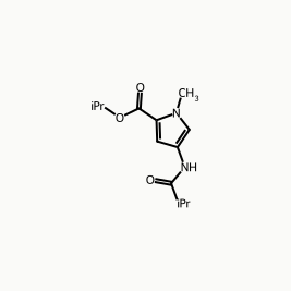 CC(C)OC(=O)c1cc(NC(=O)C(C)C)cn1C